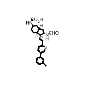 O=CN[C@H]1C[C@H]2CC(NC(=O)O)CC[C@H]2[C@@H]1C=Cc1ccc(-c2cccc(F)c2)cn1